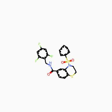 O=C(NCc1c(F)cc(F)cc1F)c1ccc2c(c1)N(S(=O)(=O)c1ccccc1)CCS2